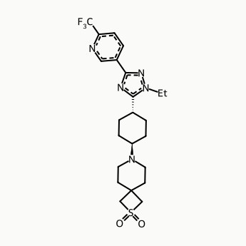 CCn1nc(-c2ccc(C(F)(F)F)nc2)nc1[C@H]1CC[C@H](N2CCC3(CC2)CS(=O)(=O)C3)CC1